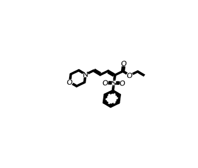 CCOC(=O)C(=CC=CN1CCOCC1)S(=O)(=O)c1ccccc1